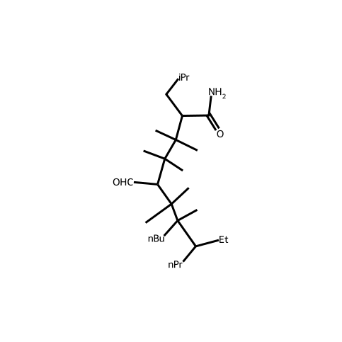 CCCCC(C)(C(CC)CCC)C(C)(C)C(C=O)C(C)(C)C(C)(C)C(CC(C)C)C(N)=O